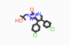 CC(C)(O)Cn1nc2c(-c3ccc(Cl)cc3)c(-c3ccc(Cl)cc3)cnn2c1=O